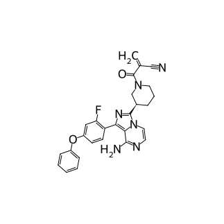 C=C(C#N)C(=O)N1CCC[C@@H](c2nc(-c3ccc(Oc4ccccc4)cc3F)c3c(N)nccn23)C1